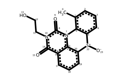 Cc1cccc2c1-n1c(=O)n(CCO)c(=O)c3cccc(c31)[S+]2[O-]